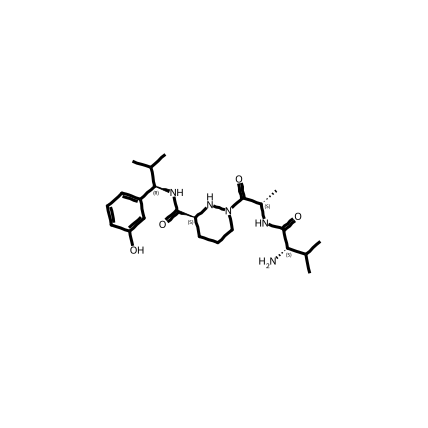 CC(C)[C@H](N)C(=O)N[C@@H](C)C(=O)N1CCC[C@@H](C(=O)N[C@@H](c2cccc(O)c2)C(C)C)N1